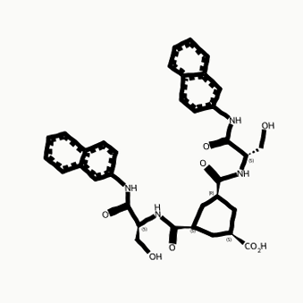 O=C(O)[C@H]1C[C@@H](C(=O)N[C@@H](CO)C(=O)Nc2ccc3ccccc3c2)C[C@@H](C(=O)N[C@@H](CO)C(=O)Nc2ccc3ccccc3c2)C1